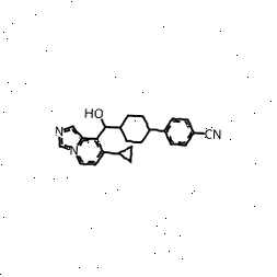 N#Cc1ccc(C2CCC(C(O)c3c(C4CC4)ccn4cncc34)CC2)cc1